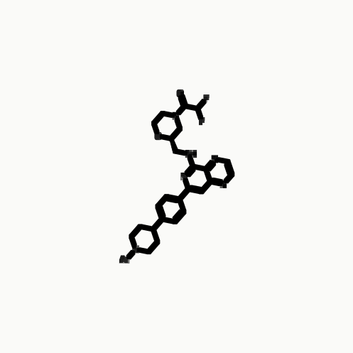 CC(=O)N1CCC(c2ccc(-c3cc4nccnc4c(NC[C@@H]4CN(C(=O)C(F)F)CCO4)n3)cc2)CC1